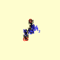 Nc1ncnn2c(-c3cncc(N4CCS(=O)(=O)CC4)c3)cc(-c3cc(C4CCOCC4)n[nH]3)c12